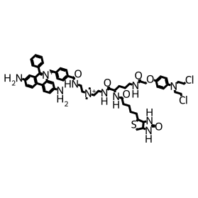 C[N+](C)(CCNC(=O)c1ccc(C[n+]2c(-c3ccccc3)c3cc(N)ccc3c3ccc(N)cc32)cc1)CCNC(=O)C(CCCNC(=O)COc1ccc(N(CCCl)CCCl)cc1)NC(=O)CCCCC1SCC2NC(=O)NC21